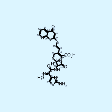 Nc1nc(/C(=N\O)C(=O)NC2C(=O)N3C(C(=O)O)=C(/C=C/Sc4cc(=O)c5cccnc5s4)CS[C@H]23)cs1